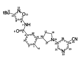 Cc1ccc(C(=O)Nc2cc(C(C)(C)C)no2)cc1C1CCN(c2cncc(C#N)c2)C1